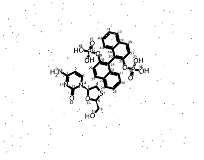 Nc1ccn([C@H]2CS[C@@H](CO)O2)c(=O)n1.O=P(O)(O)Oc1ccc2ccccc2c1-c1c(OP(=O)(O)O)ccc2ccccc12